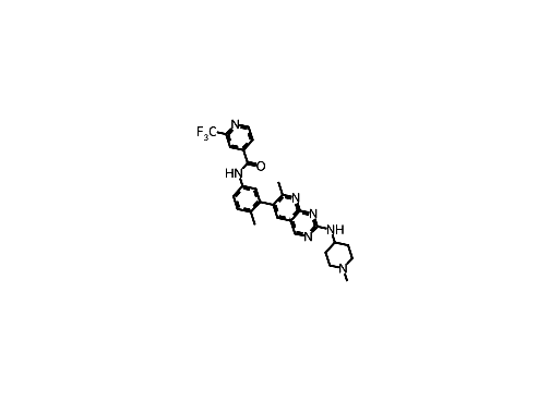 Cc1ccc(NC(=O)c2ccnc(C(F)(F)F)c2)cc1-c1cc2cnc(NC3CCN(C)CC3)nc2nc1C